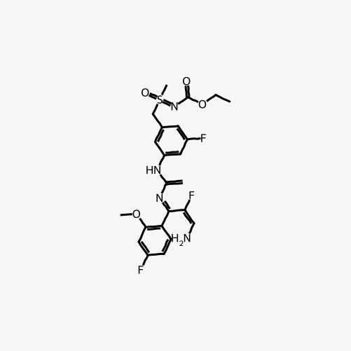 C=C(/N=C(\C(F)=C/N)c1ccc(F)cc1OC)Nc1cc(F)cc(CS(C)(=O)=NC(=O)OCC)c1